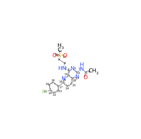 CC(=O)Nc1nc(NCCS(C)(=O)=O)c2nc(-c3ccc(F)cc3)ccc2n1